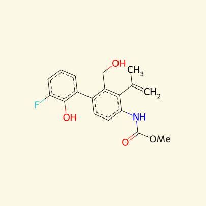 C=C(C)c1c(NC(=O)OC)ccc(-c2cccc(F)c2O)c1CO